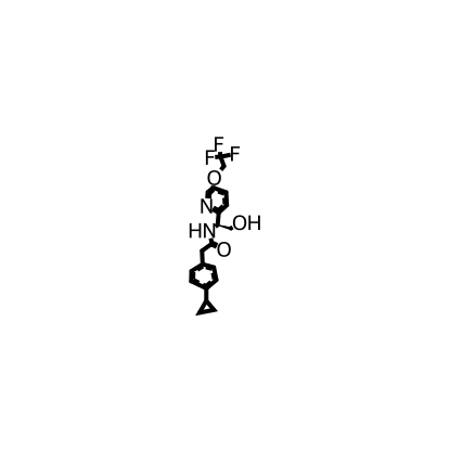 O=C(Cc1ccc(C2CC2)cc1)N[C@H](CO)c1ccc(OCC(F)(F)F)cn1